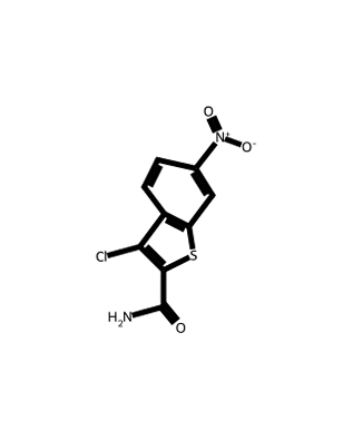 NC(=O)c1sc2cc([N+](=O)[O-])ccc2c1Cl